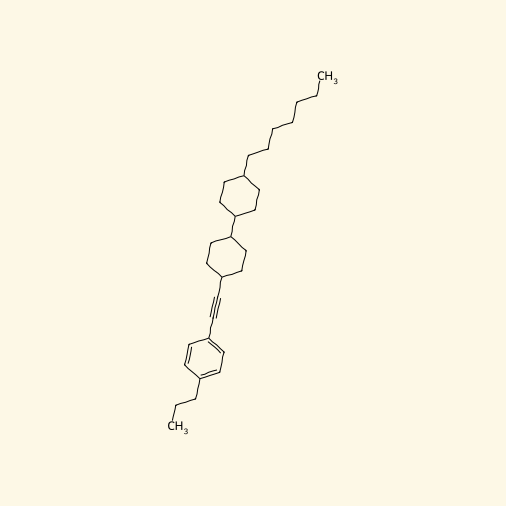 CCCCCCCC1CCC(C2CCC(C#Cc3ccc(CCC)cc3)CC2)CC1